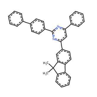 CC1(C)c2ccccc2-c2ccc(-c3cc(-c4ccccc4)nc(-c4ccc(-c5ccccc5)cc4)n3)cc21